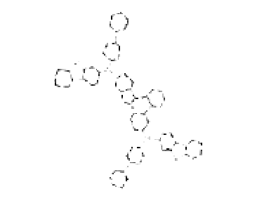 CC1(C)c2ccccc2-c2ccc(N(c3ccc(-c4ccccc4)cc3)c3ccc4c(c3)oc3c5ccc(N(c6ccc(-c7ccccc7)cc6)c6ccc7c(c6)C(C)(C)c6ccccc6-7)cc5c5ccccc5c43)cc21